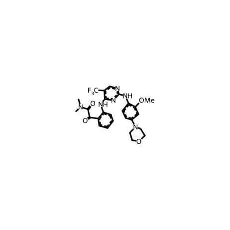 COc1cc(N2CCOCC2)ccc1Nc1ncc(C(F)(F)F)c(Nc2ccccc2C(=O)C(=O)N(C)C)n1